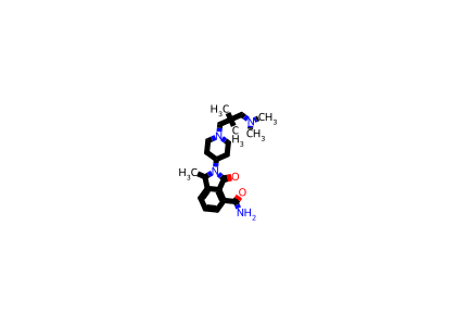 CC1c2cccc(C(N)=O)c2C(=O)N1C1CCN(CC(C)(C)CN(C)C)CC1